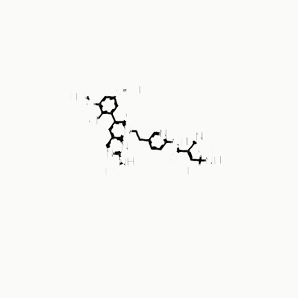 CNc1ncc2cc(-c3cc(OC)cc(OC)c3Cl)c(=O)n(CCc3ccc(NC(=O)C(C#N)=CC(C)(C)N)nc3)c2n1